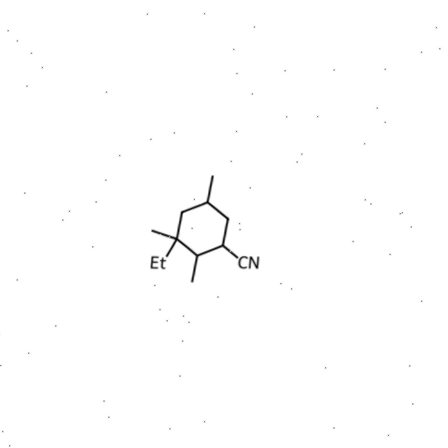 CCC1(C)CC(C)CC(C#N)C1C